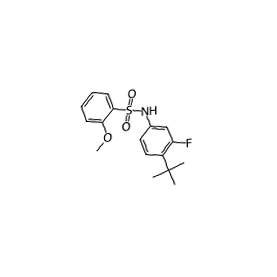 COc1ccccc1S(=O)(=O)Nc1ccc(C(C)(C)C)c(F)c1